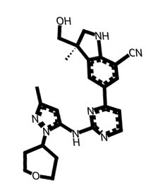 Cc1cc(Nc2nccc(-c3cc(C#N)c4c(c3)[C@@](C)(CO)CN4)n2)n(C2CCOCC2)n1